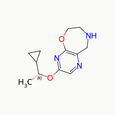 C[C@@H](Oc1cnc2c(n1)OCCNC2)C1CC1